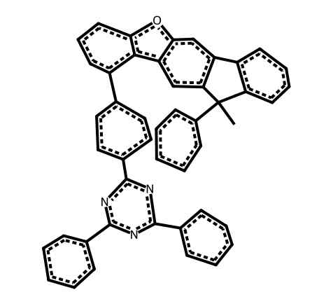 CC1(c2ccccc2)c2ccccc2-c2cc3oc4cccc(-c5ccc(-c6nc(-c7ccccc7)nc(-c7ccccc7)n6)cc5)c4c3cc21